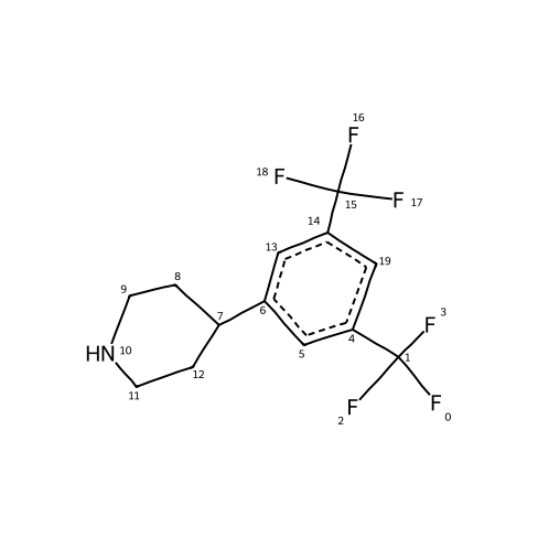 FC(F)(F)c1cc(C2CCNCC2)cc(C(F)(F)F)c1